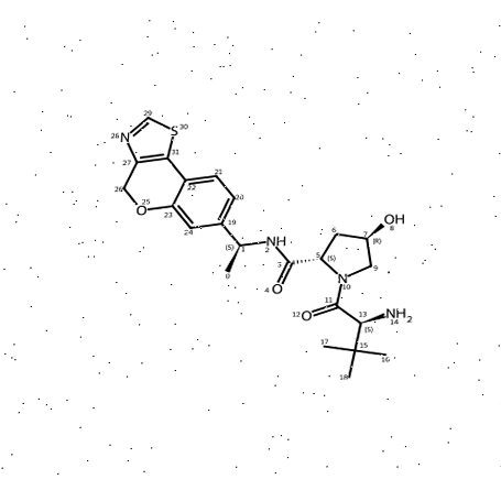 C[C@H](NC(=O)[C@@H]1C[C@@H](O)CN1C(=O)[C@@H](N)C(C)(C)C)c1ccc2c(c1)OCc1ncsc1-2